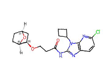 O=C(CCO[C@@H]1C[C@@H]2CC[C@H]1O2)Nc1nc2ccc(Cl)nc2n1C1CCC1